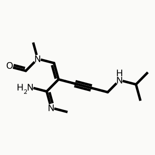 C/N=C(N)\C(C#CCNC(C)C)=C/N(C)C=O